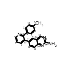 Cc1ccc(-c2ncccc2-c2ccc3nc(N)ncc3c2)cc1